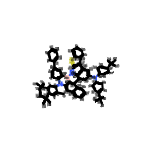 Cc1cc2c(cc1N1c3ccc(-c4ccccc4)cc3B3c4c1cc1ccccc1c4-c1cc(N(c4ccc(C(C)(C)C)cc4)c4ccc(C(C)(C)C)cc4)cc4c5c6ccccc6sc5n3c14)C(C)(C)CCC2(C)C